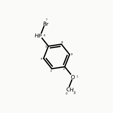 COc1ccc(PBr)cc1